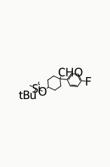 CC(C)(C)[Si](C)(C)OC1CCC(C=O)(c2ccc(F)cc2)CC1